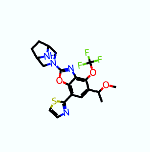 COC(C)c1cc(-c2nccs2)c2oc(N3CC4CCC(C3)N4)nc2c1OC(F)(F)F